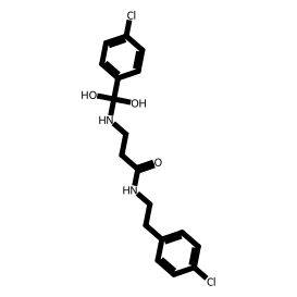 O=C(CCNC(O)(O)c1ccc(Cl)cc1)NCCc1ccc(Cl)cc1